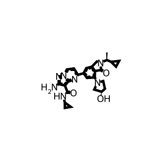 C[C@@H](C1CC1)N1Cc2cc(-c3ccn4nc(N)c(C(=O)NC5CC5)c4n3)cc(N3CC[C@H](O)C3)c2C1=O